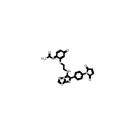 CC(=O)/N=C1\C=CC(=O)C=C1SCCNc1c(-c2ccc(N3C(=O)C=CC3=O)cc2)nc2scnn12